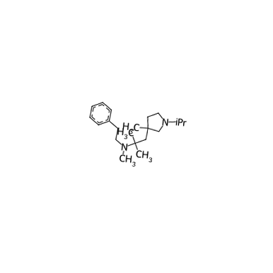 CC(C)N1CCC(C)(CC(C)(C)N(C)CCc2ccccc2)C1